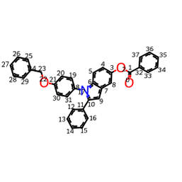 O=C(Oc1ccc2c(c1)cc(-c1ccccc1)n2-c1ccc(OCc2ccccc2)cc1)c1ccccc1